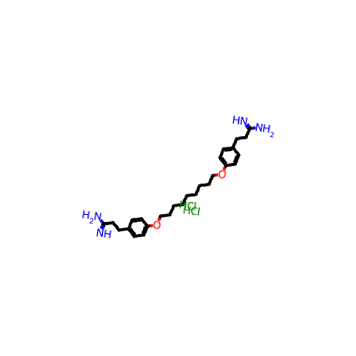 Cl.Cl.N=C(N)CCc1ccc(OCCCCCCCCCOc2ccc(CCC(=N)N)cc2)cc1